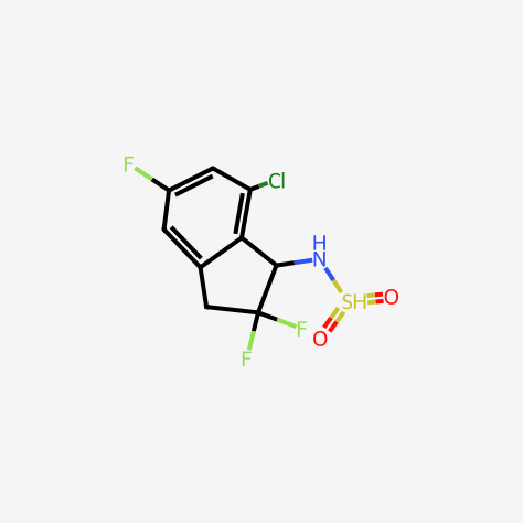 O=[SH](=O)NC1c2c(Cl)cc(F)cc2CC1(F)F